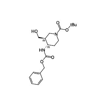 CC(C)(C)OC(=O)N1CC[C@H](NC(=O)OCc2ccccc2)[C@@H](CO)C1